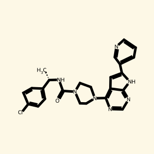 C[C@H](NC(=O)N1CCN(c2ncnc3[nH]c(-c4cccnc4)cc23)CC1)c1ccc(Cl)cc1